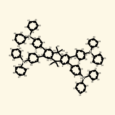 CC1(C)c2cc(-c3ccc(N(c4ccccc4)c4ccccc4)cc3)c(-c3ccc(N(c4ccccc4)c4ccccc4)cc3)cc2C(C)(C)c2cc(-c3ccc(N(c4ccccc4)c4ccccc4)cc3)c(-c3ccc(N(c4ccccc4)c4ccccc4)cc3)cc21